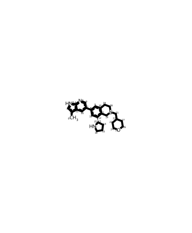 Cc1c[nH]c2ncc(-c3cc4c(c([C@@H]5CCCN5)c3)CN(CC3CCOCC3)CC4)cc12